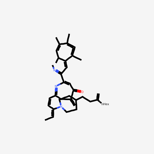 C=C(CCCCCC)CCC1CCN(C(/C=C\C2=NC(C(/C=C3/C(C)=C=C(C)C(C)=CC3C)=N/C)=CC(=O)C(=C)C2)=C/C)CC1